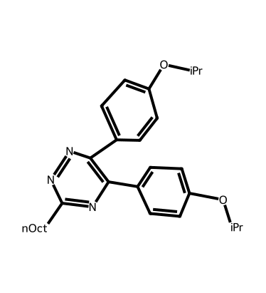 CCCCCCCCc1nnc(-c2ccc(OC(C)C)cc2)c(-c2ccc(OC(C)C)cc2)n1